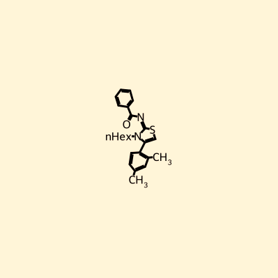 CCCCCCn1c(-c2ccc(C)cc2C)cs/c1=N/C(=O)c1ccccc1